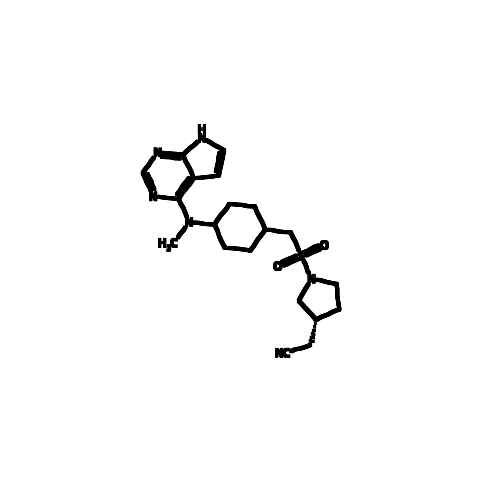 CN(c1ncnc2[nH]ccc12)C1CCC(CS(=O)(=O)N2CC[C@H](CC#N)C2)CC1